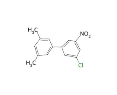 Cc1cc(C)cc(-c2cc(Cl)cc([N+](=O)[O-])c2)c1